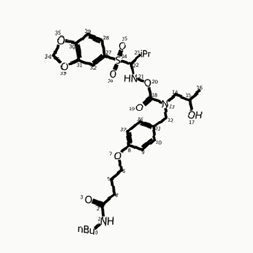 CCCCNC(=O)CCCOc1ccc(CN(CC(C)O)C(=O)ONC(C(C)C)S(=O)(=O)c2ccc3c(c2)OCO3)cc1